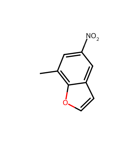 Cc1cc([N+](=O)[O-])cc2ccoc12